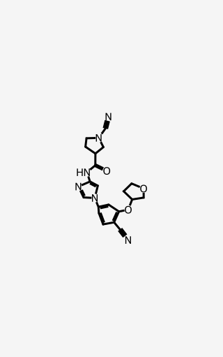 N#Cc1ccc(-n2cnc(NC(=O)C3CCN(C#N)C3)c2)cc1OC1CCOC1